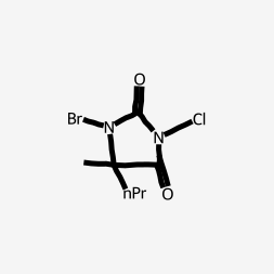 CCCC1(C)C(=O)N(Cl)C(=O)N1Br